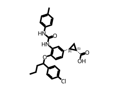 CCCC(Oc1ccc([C@@H]2C[C@@H]2C(=O)O)cc1NC(=O)Nc1ccc(C)cc1)c1ccc(Cl)cc1